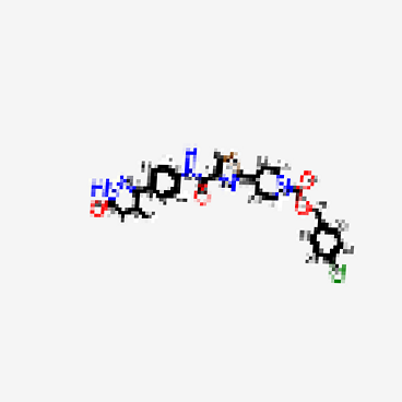 CC1CC(=O)NN=C1c1ccc(NC(=O)c2csc(C3CCN(C(=O)OCc4ccc(Cl)cc4)CC3)n2)cc1